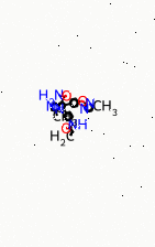 C=CC(=O)Nc1ccc(-c2c(-c3ccc(Oc4nccc(C)n4)cc3)c(C(N)=O)c3cncc(C)n23)cc1